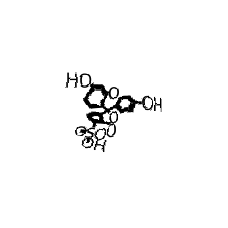 O=C1OC2(c3ccc(O)cc3Oc3cc(O)ccc32)c2cccc(S(=O)(=O)O)c21